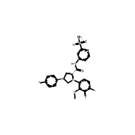 COc1c(N2C[C@@H](c3ccc(F)cc3)C[C@@H]2C(=O)Nc2ccnc(S(N)(=O)=O)c2)ccc(F)c1F